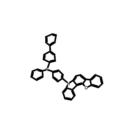 c1ccc(-c2ccc(N(c3ccccc3)c3ccc(-n4c5ccccc5c5c6oc7ccccc7c6ccc54)cc3)cc2)cc1